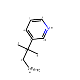 CCCCCCC(C)(C)c1cccnc1